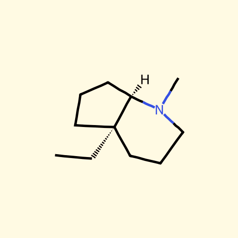 CC[C@]12CCC[C@H]1N(C)CCC2